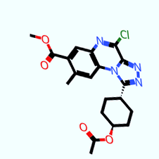 COC(=O)c1cc2nc(Cl)c3nnc([C@H]4CC[C@H](OC(C)=O)CC4)n3c2cc1C